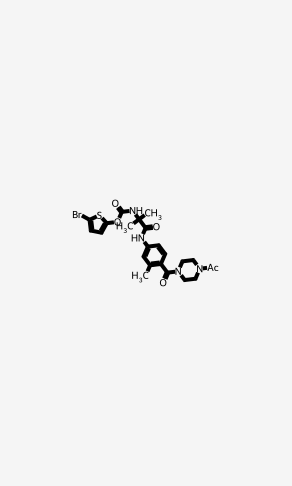 CC(=O)N1CCN(C(=O)c2ccc(NC(=O)C(C)(C)NC(=O)Oc3ccc(Br)s3)cc2C)CC1